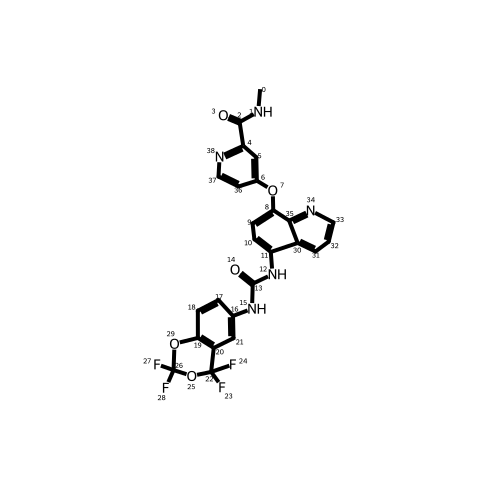 CNC(=O)c1cc(Oc2ccc(NC(=O)Nc3ccc4c(c3)C(F)(F)OC(F)(F)O4)c3cccnc23)ccn1